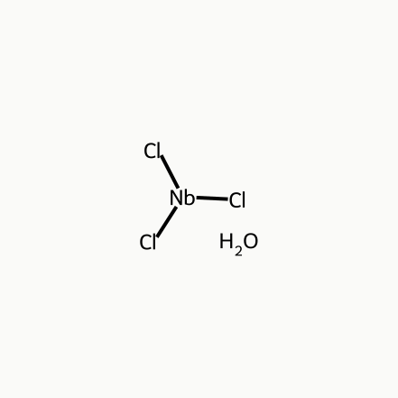 O.[Cl][Nb]([Cl])[Cl]